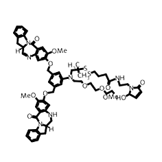 COCCOCCOCCN(CC(C)(C)SSCCCC(=O)NCCN1C(=O)C=CC1O)c1cc(COc2cc3c(cc2OC)C(=O)N2c4ccccc4C[C@H]2C=N3)cc(COc2cc3c(cc2OC)C(=O)N2c4ccccc4C[C@H]2CN3)c1